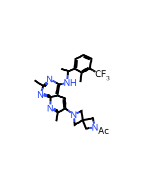 CC(=O)N1CC2(C1)CN(c1cc3c(NC(C)c4cccc(C(F)(F)F)c4C)nc(C)nc3nc1C)C2